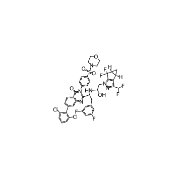 O=c1c2ccc(-c3c(Cl)cccc3Cl)cc2nc([C@H](Cc2cc(F)cc(F)c2)NC(O)Cn2nc(C(F)F)c3c2C(F)(F)[C@@H]2C[C@H]32)n1-c1ccc(S(=O)(=O)N2CCOCC2)cc1